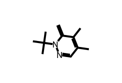 C=C1C(C)=C(C)C=NN1C(C)(C)C